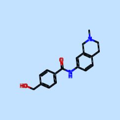 CN1CCc2ccc(NC(=O)c3ccc(CO)cc3)cc2C1